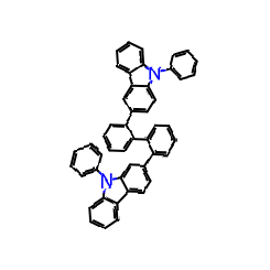 c1ccc(-n2c3ccccc3c3cc(-c4ccccc4-c4ccccc4-c4ccc5c6ccccc6n(-c6ccccc6)c5c4)ccc32)cc1